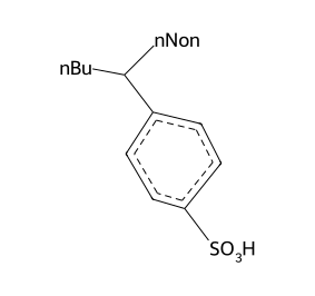 CCCCCCCCCC(CCCC)c1ccc(S(=O)(=O)O)cc1